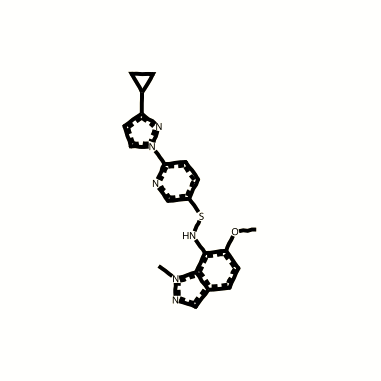 COc1ccc2cnn(C)c2c1NSc1ccc(-n2ccc(C3CC3)n2)nc1